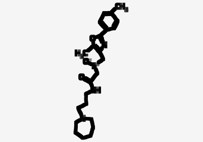 Cc1ccc(-c2nc(C[S+]([O-])CC(=O)NCCCN3CCCCCC3)c(C)o2)cc1